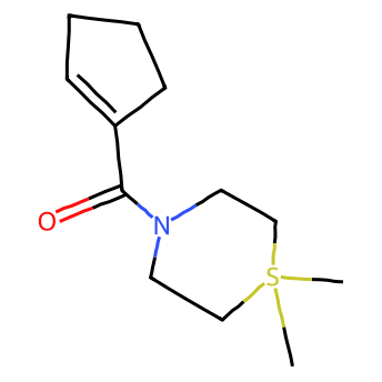 CS1(C)CCN(C(=O)C2=CCCC2)CC1